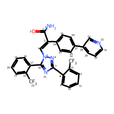 NC(=O)C(=Cn1nc(-c2ccccc2C(F)(F)F)nc1-c1ccccc1C(F)(F)F)c1ccc(-c2cccnc2)cc1